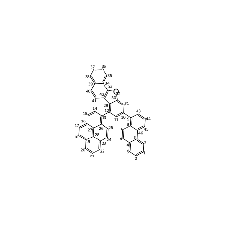 c1ccc2c(c1)ccc1c(-c3cc(-c4ccc5ccc6cccc7ccc4c5c67)c4c(c3)oc3c5ccccc5ccc34)cccc12